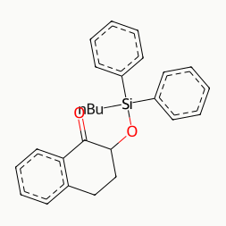 CCCC[Si](OC1CCc2ccccc2C1=O)(c1ccccc1)c1ccccc1